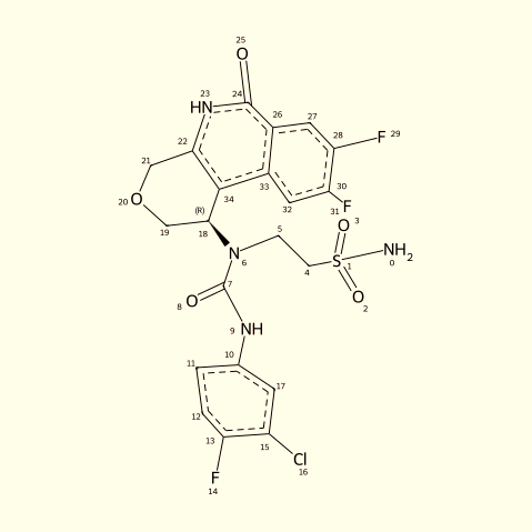 NS(=O)(=O)CCN(C(=O)Nc1ccc(F)c(Cl)c1)[C@H]1COCc2[nH]c(=O)c3cc(F)c(F)cc3c21